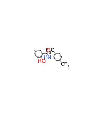 O=C(Nc1cc(C(F)(F)F)ccc1C(F)(F)F)c1c[c]ccc1O